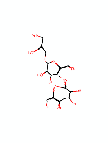 OCC(O)COC1OC(CO)[C@H](OC2OC(CO)C(O)C(O)C2O)C(O)C1O